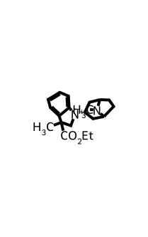 CCOC(=O)C1(C)C[N+](C2CC3CCC(C2)N3C)c2ccccc21